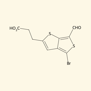 O=Cc1sc(Br)c2cc(CCC(=O)O)sc12